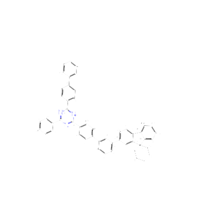 c1ccc(-c2ccc(-c3nc(-c4ccccc4)nc(-c4ccc(-c5cccc(-c6ccc7c(c6)C6(CCCCC6)c6ccccc6-7)c5)cc4)n3)cc2)cc1